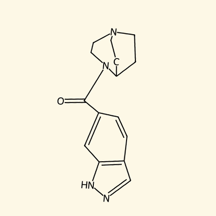 O=C(c1ccc2cn[nH]c2c1)N1CCN2CCC1CC2